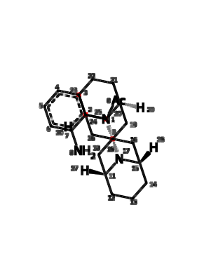 CC(=O)N(c1ccccc1N)[C@H]1C[C@H]2CCC[C@@H](C1)N2[C@H]1C[C@@H]2CCC[C@@H](C2)C1